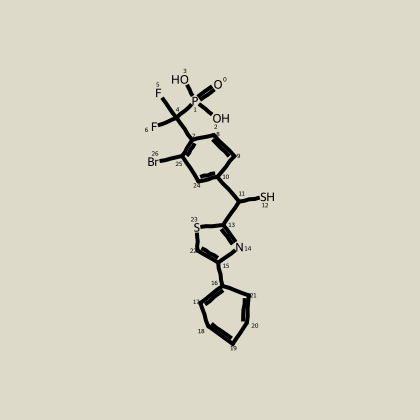 O=P(O)(O)C(F)(F)c1ccc(C(S)c2nc(-c3ccccc3)cs2)cc1Br